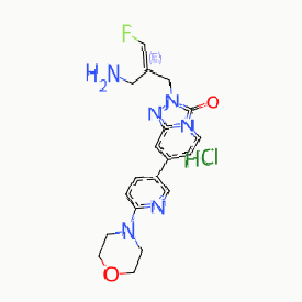 Cl.NC/C(=C\F)Cn1nc2cc(-c3ccc(N4CCOCC4)nc3)ccn2c1=O